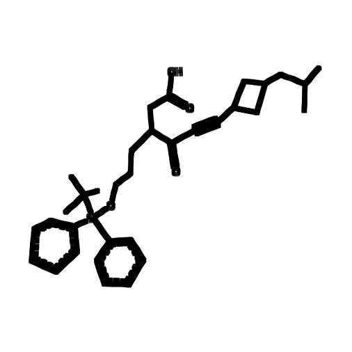 CC(C)CC1CC(C#CC(=O)C(CCCO[Si](c2ccccc2)(c2ccccc2)C(C)(C)C)CC(=O)O)C1